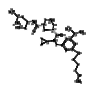 COCCCOc1cc(CN(C(=O)[C@H]2CNC[C@@H](C(=O)NC(CO)CC(C)C)C2)C2CC2)cc(C(C)C)c1